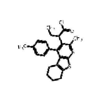 CCC(C(=O)O)c1c(C)nc2sc3c(c2c1-c1ccc(C)cc1)CCCC3